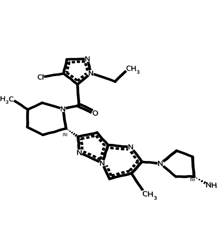 CCn1ncc(Cl)c1C(=O)N1CC(C)CC[C@H]1c1cc2nc(N3CC[C@H](N)C3)c(C)cn2n1